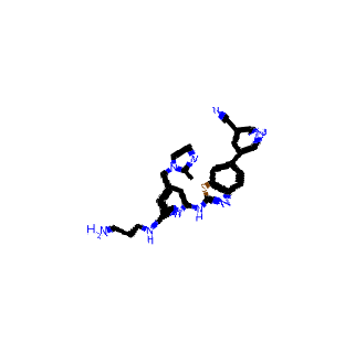 Cc1nccn1Cc1cc(NCCCN)nc(Nc2nc3ccc(-c4cncc(C#N)c4)cc3s2)c1